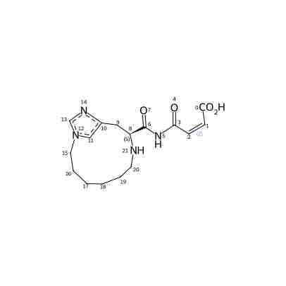 O=C(O)/C=C\C(=O)NC(=O)[C@@H]1Cc2cn(cn2)CCCCCCN1